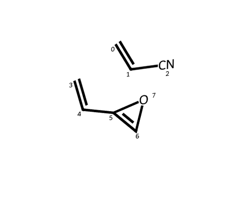 C=CC#N.C=CC1=CO1